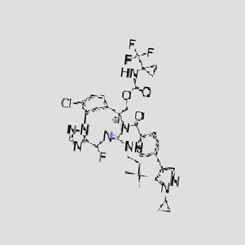 CC(C)(C)CCN/C1=N\C(F)c2ncnn2-c2cc(ccc2Cl)[C@@H](COC(=O)NC2(C(F)(F)F)CC2)N1C(=O)c1ccc(-c2cnn(C3CC3)c2)cc1